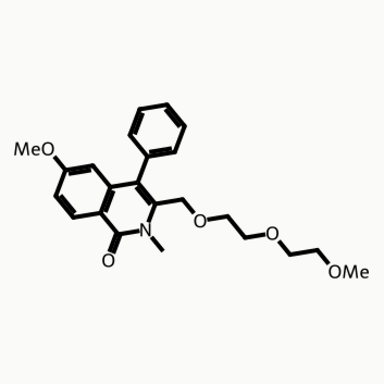 COCCOCCOCc1c(-c2ccccc2)c2cc(OC)ccc2c(=O)n1C